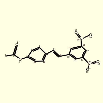 CC(=O)Oc1ccc(/C=C/c2cc([N+](=O)[O-])cc([N+](=O)[O-])c2)cc1